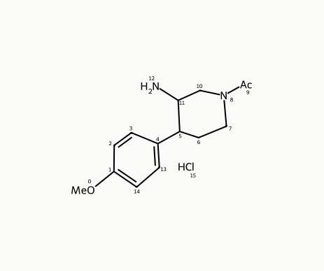 COc1ccc(C2CCN(C(C)=O)CC2N)cc1.Cl